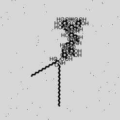 CCCCCCCCCCCCC/C=C/[C@@H](O)[C@H](CO[C@@H]1OC(CO)[C@@H](O[C@@H]2OC(CO)[C@H](O)[C@H](O[C@@H]3OC(CO)[C@@H](O[C@@H]4OC(CO)[C@H](O)[C@H](O[C@@H]5OC(CO)[C@@H](O[C@H]6OC(C)[C@@H](O)C(O)[C@@H]6O)[C@H](O[C@@H]6OC(CO)[C@H](O)[C@H](O)C6O)C5NC(C)=O)C4O)[C@H](O)C3NC(C)=O)C2O)[C@H](O)C1O)NC(=O)CCCCCCCCCCCCCCCCCCCCC